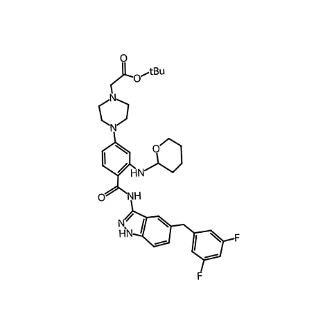 CC(C)(C)OC(=O)CN1CCN(c2ccc(C(=O)Nc3n[nH]c4ccc(Cc5cc(F)cc(F)c5)cc34)c(NC3CCCCO3)c2)CC1